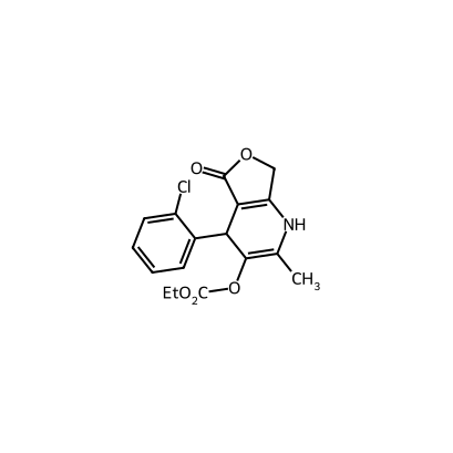 CCOC(=O)OC1=C(C)NC2=C(C(=O)OC2)C1c1ccccc1Cl